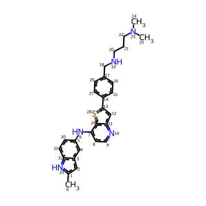 Cc1cc2cc(Nc3ccnc4cc(-c5ccc(CNCCCN(C)C)cc5)sc34)ccc2[nH]1